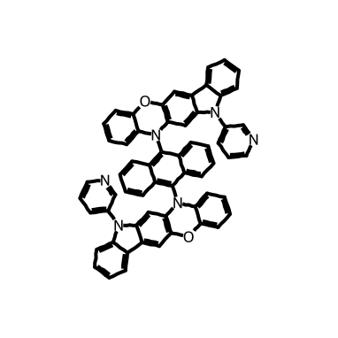 c1cncc(-n2c3ccccc3c3cc4c(cc32)N(c2c3ccccc3c(N3c5ccccc5Oc5cc6c7ccccc7n(-c7cccnc7)c6cc53)c3ccccc23)c2ccccc2O4)c1